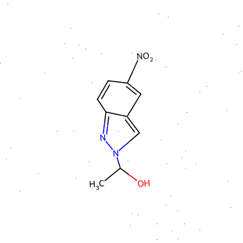 CC(O)n1cc2cc([N+](=O)[O-])ccc2n1